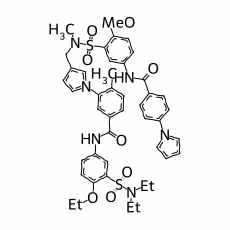 CCOc1ccc(NC(=O)c2ccc(C)c(-n3ccc(CN(C)S(=O)(=O)c4cc(NC(=O)c5ccc(-n6cccc6)cc5)ccc4OC)c3)c2)cc1S(=O)(=O)N(CC)CC